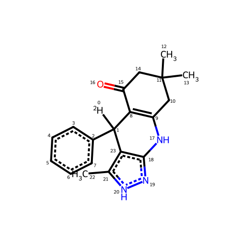 [2H]C1(c2ccccc2)C2=C(CC(C)(C)CC2=O)Nc2n[nH]c(C)c21